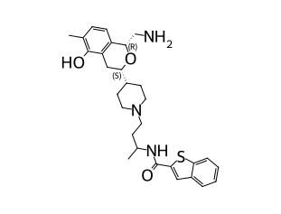 Cc1ccc2c(c1O)C[C@@H](C1CCN(CCC(C)NC(=O)c3cc4ccccc4s3)CC1)O[C@H]2CN